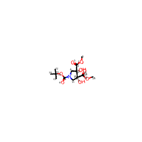 COC(=O)[C@]1(O)CN(C(=O)OC(C)(C)C)C[C@]1(O)C(=O)OC